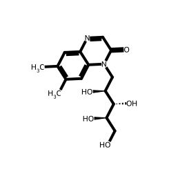 Cc1cc2ncc(=O)n(C[C@H](O)[C@H](O)[C@H](O)CO)c2cc1C